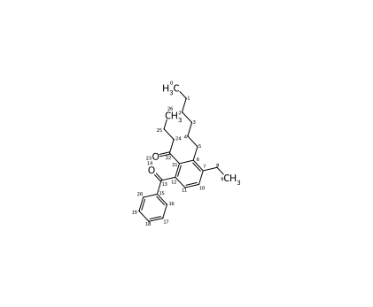 CCCCCCc1c(CC)ccc(C(=O)c2ccccc2)c1C(=O)CCC